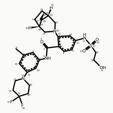 Cc1cc(NC(=O)c2ccc(NS(=O)(=O)CCO)cc2N2C[C@H]3CC[C@@H](C2)C32CC2)cc(N2CCC(F)(F)CC2)c1